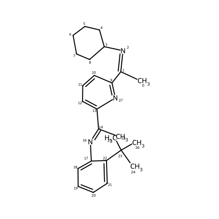 CC(=NC1CCCCC1)c1cccc(/C(C)=N/c2ccccc2C(C)(C)C)n1